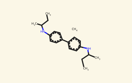 C.CCC(C)Nc1ccc(-c2ccc(NC(C)CC)cc2)cc1